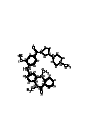 CCOc1cc(C(=O)N2CC[C@@H](N3CCN(C)CC3)C2)ccc1Nc1cc2c(cn1)N(C)C(=O)c1ccccc1N2C